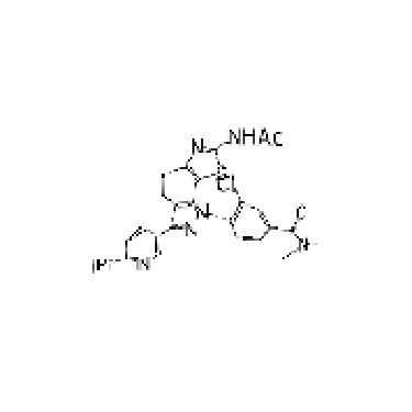 CC(=O)Nc1nc2c(s1)-c1c(c(-c3ccc(C(C)C)nc3)nn1-c1ccc(C(=O)N(C)C)cc1Cl)CC2